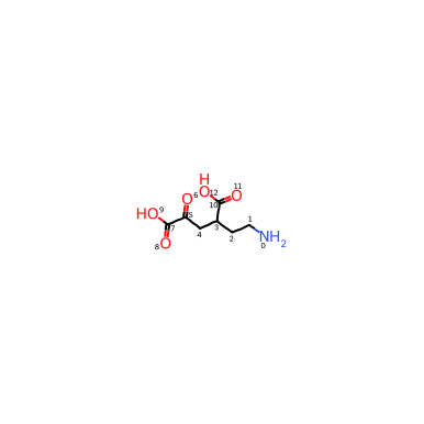 NCCC(CC(=O)C(=O)O)C(=O)O